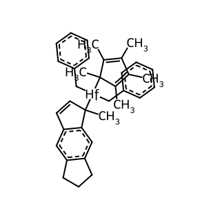 CC1=C(C)[C](C)([Hf]([CH2]c2ccccc2)([CH2]c2ccccc2)[C]2(C)C=Cc3cc4c(cc32)CCC4)C(C)=C1C